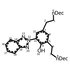 CCCCCCCCCCCCc1cc(CCCCCCCCCCCC)c(O)c(-n2nc3ccccc3n2)c1